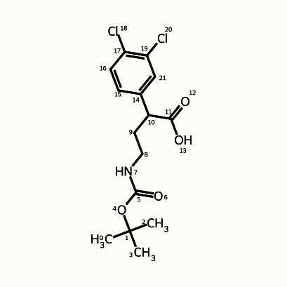 CC(C)(C)OC(=O)NCCC(C(=O)O)c1ccc(Cl)c(Cl)c1